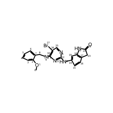 COc1ccccc1CNc1nc(Nc2ccc3c(c2)NC(=O)C3)ncc1Br